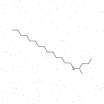 CCCCCCCCCCCCCCSC(C)CCC